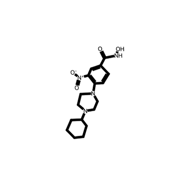 O=C(NO)c1ccc(N2CCN(C3CCCCC3)CC2)c([N+](=O)[O-])c1